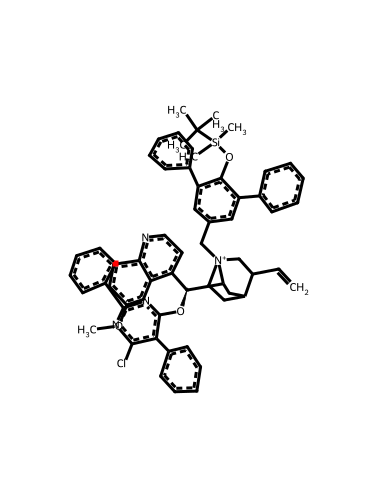 C=CC1C[N+]2(Cc3cc(-c4ccccc4)c(O[Si](C)(C)C(C)(C)C)c(-c4ccccc4)c3)CCC1CC2[C@@H](Oc1nc(-c2ccccc2)nc(Cl)c1-c1ccccc1)c1ccnc2ccc(OC)cc12